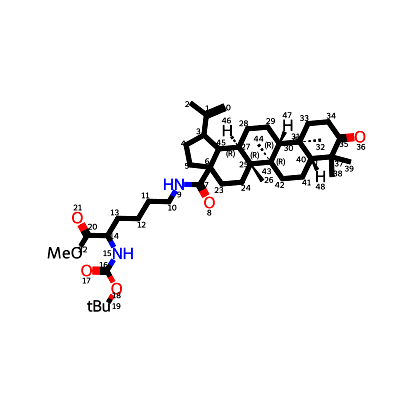 C=C(C)C1CCC2(C(=O)NCCCCC(NC(=O)OC(C)(C)C)C(=O)OC)CC[C@]3(C)[C@H](CC[C@@H]4[C@@]5(C)CCC(=O)C(C)(C)[C@@H]5CC[C@]43C)C12